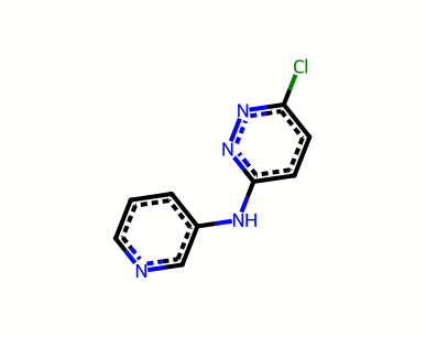 Clc1ccc(Nc2cccnc2)nn1